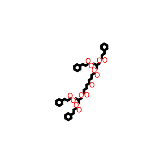 O=C(CCCC(=O)OCC(COC(=O)CCC1CCCCC1)COC(=O)CCC1CCCCC1)CCCC(=O)OCC(COC(=O)CCC1CCCCC1)COC(=O)CCC1CCCCC1